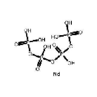 O=P(O)(O)OP(=O)(O)OP(=O)(O)OP(=O)(O)O.[Nd]